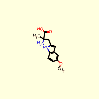 COc1ccc2[nH]c(CC(C)(N)C(=O)O)cc2c1